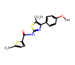 CCCOc1ccc(-c2nc(NC(=O)c3ccc([N+](=O)[O-])s3)sc2C(=O)OCC)cc1